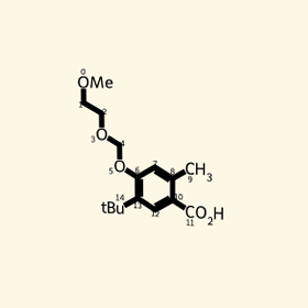 COCCOCOc1cc(C)c(C(=O)O)cc1C(C)(C)C